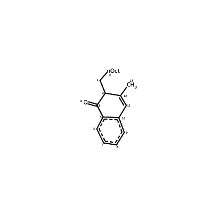 CCCCCCCCCC1C(=O)c2ccccc2C=C1C